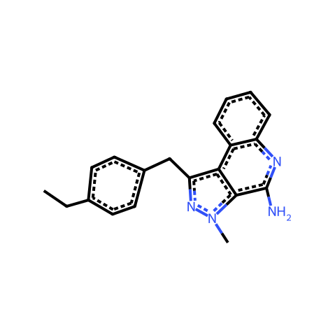 CCc1ccc(Cc2nn(C)c3c(N)nc4ccccc4c23)cc1